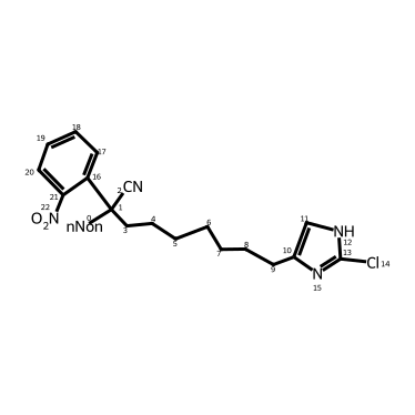 CCCCCCCCCC(C#N)(CCCCCCCc1c[nH]c(Cl)n1)c1ccccc1[N+](=O)[O-]